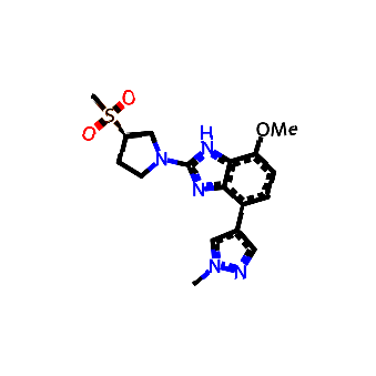 COc1ccc(-c2cnn(C)c2)c2nc(N3CC[C@@H](S(C)(=O)=O)C3)[nH]c12